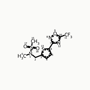 CN(Cc1ccc(-c2noc(C(F)(F)F)n2)s1)S(C)(=O)=O